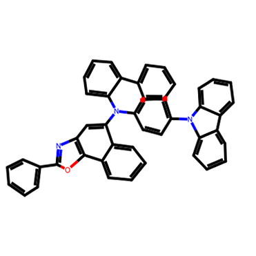 c1ccc(-c2nc3cc(N(c4ccc(-n5c6ccccc6c6ccccc65)cc4)c4ccccc4-c4ccccc4)c4ccccc4c3o2)cc1